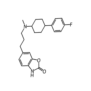 CN(CCCc1ccc2[nH]c(=O)oc2c1)C1CCC(c2ccc(F)cc2)CC1